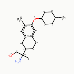 CC(C)(C)C1CCC(Oc2cc3c(cc2C(F)(F)F)CC(C(C)(N)CO)CC3)CC1